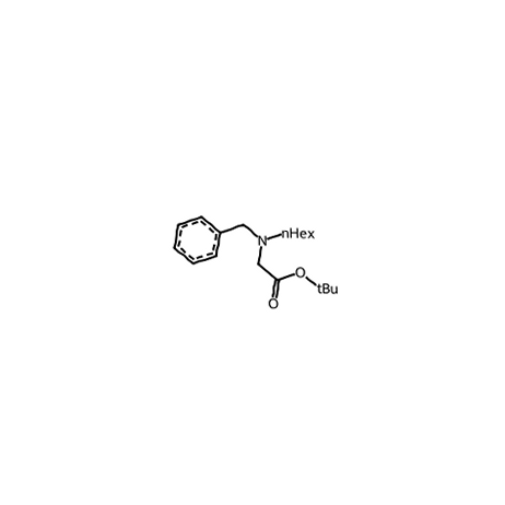 CCCCCCN(CC(=O)OC(C)(C)C)Cc1ccccc1